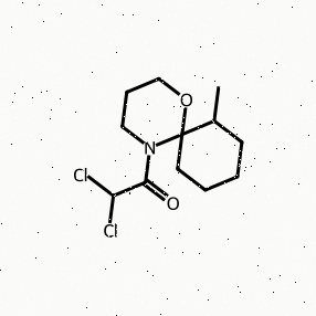 CC1CCCCC12OCCCN2C(=O)C(Cl)Cl